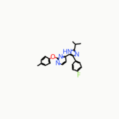 Cc1ccc(Oc2nccc(-c3[nH]c(C(C)C)nc3-c3ccc(F)cc3)n2)cc1